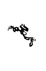 O=C(CCN1CCCCC1)N1CCC(c2cc(-c3ccc4c(c3)CC/C4=N\O)c(-c3ccncc3)o2)CC1